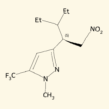 CCC(CC)[C@@H](C[N+](=O)[O-])c1cc(C(F)(F)F)n(C)n1